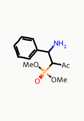 COP(=O)(OC)C(C(C)=O)C(N)c1ccccc1